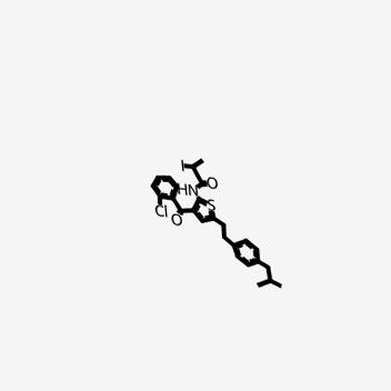 CC(C)Cc1ccc(CCc2cc(C(=O)c3ccccc3Cl)c(NC(=O)C(C)I)s2)cc1